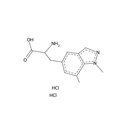 Cc1cc(CC(N)C(=O)O)cc2cnn(C)c12.Cl.Cl